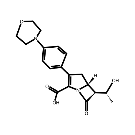 C[C@@H](O)[C@H]1C(=O)N2C(C(=O)O)=C(c3ccc(N4CCOCC4)cc3)C[C@H]12